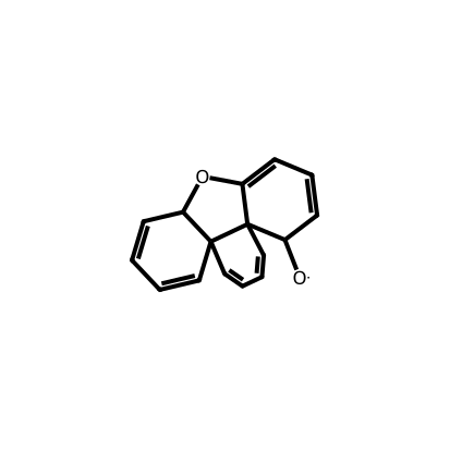 [O]C1C=CC=C2OC3C=CC=CC34C=CC=CC214